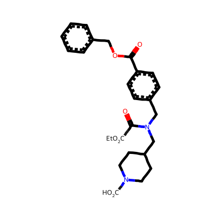 CCOC(=O)C(=O)N(Cc1ccc(C(=O)OCc2ccccc2)cc1)CC1CCN(C(=O)O)CC1